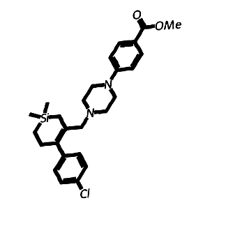 COC(=O)c1ccc(N2CCN(CC3=C(c4ccc(Cl)cc4)CC[Si](C)(C)C3)CC2)cc1